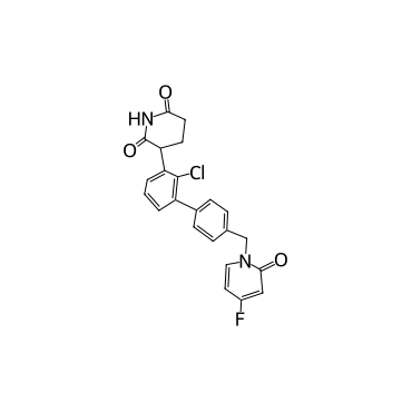 O=C1CCC(c2cccc(-c3ccc(Cn4ccc(F)cc4=O)cc3)c2Cl)C(=O)N1